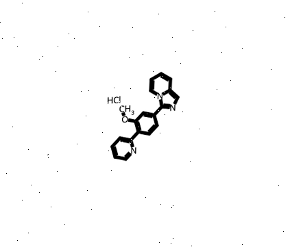 COc1cc(-c2ncc3ccccn23)ccc1-c1ccccn1.Cl